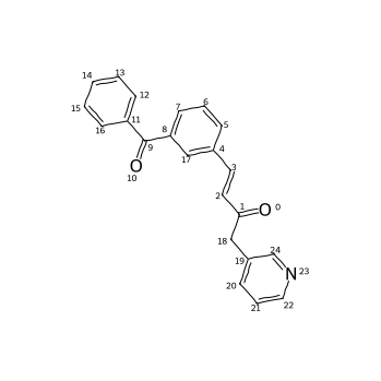 O=C(C=Cc1cccc(C(=O)c2ccccc2)c1)Cc1cccnc1